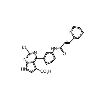 CCc1nc(-c2cccc(NC(=O)/C=C/c3ccccn3)c2)c2c(C(=O)O)c[nH]c2n1